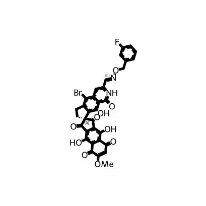 COC1=CC(=O)c2c(O)c3c(c(O)c2C1=O)C(=O)[C@]1(CCc2c1c(O)c1c(=O)[nH]c(/C=N/OCc4cccc(F)c4)cc1c2Br)C3=O